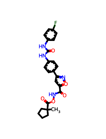 CC1(C(=O)ONC(=O)c2cc(-c3ccc(NC(=O)Nc4ccc(F)cc4)cc3)no2)CCCC1